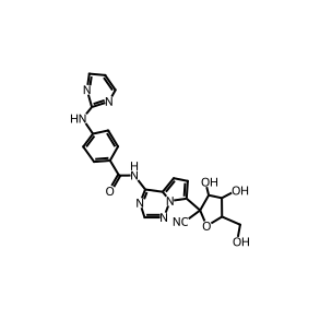 N#CC1(c2ccc3c(NC(=O)c4ccc(Nc5ncccn5)cc4)ncnn23)OC(CO)C(O)C1O